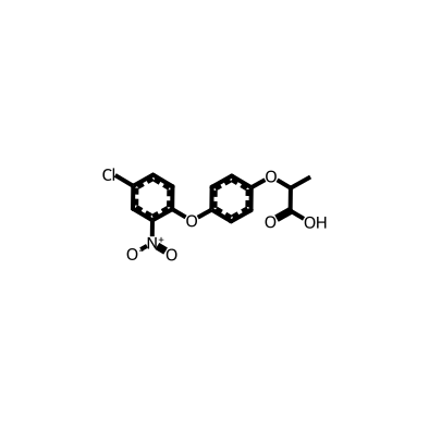 CC(Oc1ccc(Oc2ccc(Cl)cc2[N+](=O)[O-])cc1)C(=O)O